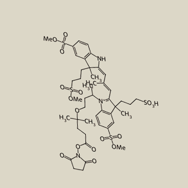 COS(=O)(=O)CCCC1(C)/C(=C\C(C)=C\C2=[N+](C(C)CCOC(C)(C)CCC(=O)ON3C(=O)CCC3=O)c3ccc(S(=O)(=O)OC)cc3C2(C)CCCS(=O)(=O)O)Nc2ccc(S(=O)(=O)OC)cc21